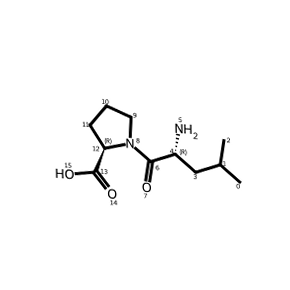 CC(C)C[C@@H](N)C(=O)N1CCC[C@@H]1C(=O)O